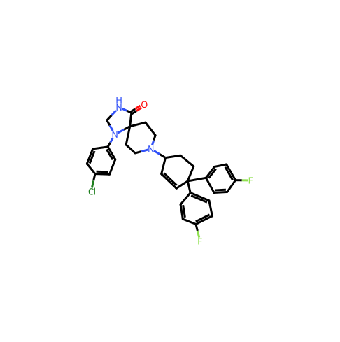 O=C1NCN(c2ccc(Cl)cc2)C12CCN(C1C=CC(c3ccc(F)cc3)(c3ccc(F)cc3)CC1)CC2